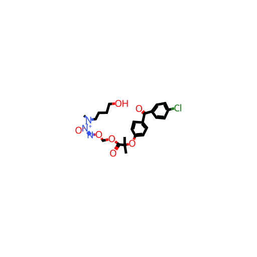 CN(CCCCO)/[N+]([O-])=N\OCOC(=O)C(C)(C)Oc1ccc(C(=O)c2ccc(Cl)cc2)cc1